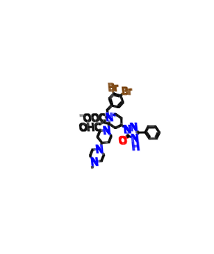 CN1CCN(C2CCN(C3(CC=O)CC(n4nc(-c5ccccc5)[nH]c4=O)CC[N@+]3(Cc3ccc(Br)c(Br)c3)C(=O)[O-])CC2)CC1